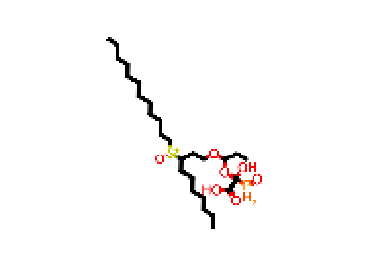 CCCCCCCCCCCC[S+]([O-])C(CCCCCCC)CCOC(CC)OC(O)([PH2]=O)C(=O)O